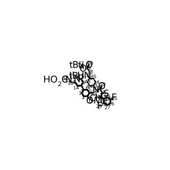 COc1ccc(-c2ccnc(CN(C(=O)O)C(C)(C)C)c2)cc1CN(C(=O)c1sc2c(F)ccc(F)c2c1Cl)C1CCC(NCC(=O)OC(C)(C)C)CC1